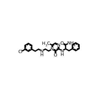 Cc1cnc(NC(Cc2ccccc2)C(N)=O)c(=O)n1CCNCCc1cccc(Cl)c1